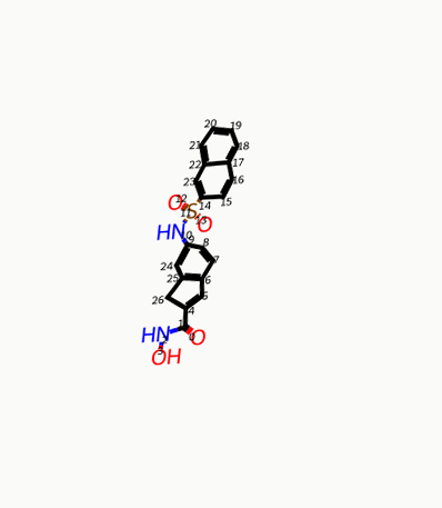 O=C(NO)C1=Cc2ccc(NS(=O)(=O)c3ccc4ccccc4c3)cc2C1